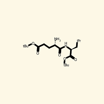 CC(C)C[C@H](NC(=O)[C@@H](N)CCC(=O)OC(C)(C)C)C(=O)OC(C)(C)C